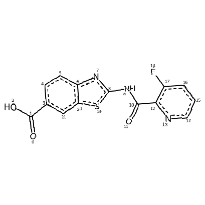 O=C(O)c1ccc2nc(NC(=O)c3ncccc3F)sc2c1